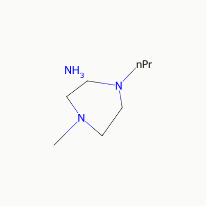 CCCN1CCN(C)CC1.N